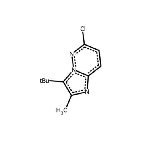 Cc1nc2ccc(Cl)nn2c1C(C)(C)C